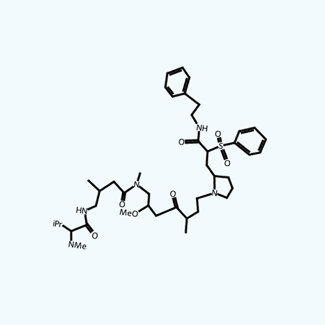 CNC(C(=O)NCC(C)CC(=O)N(C)CC(CC(=O)C(C)CCN1CCCC1CC(C(=O)NCCc1ccccc1)S(=O)(=O)c1ccccc1)OC)C(C)C